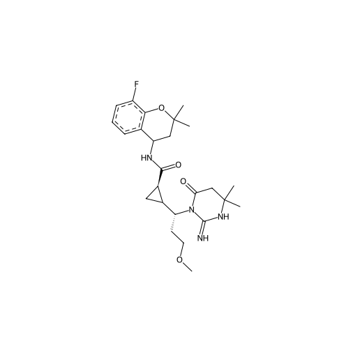 COCC[C@H](C1C[C@H]1C(=O)NC1CC(C)(C)Oc2c(F)cccc21)N1C(=N)NC(C)(C)CC1=O